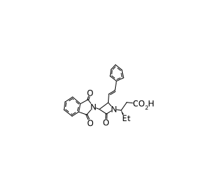 CC[C@H](CC(=O)O)N1C(=O)C(N2C(=O)c3ccccc3C2=O)C1C=Cc1ccccc1